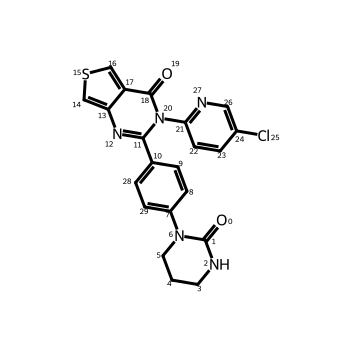 O=C1NCCCN1c1ccc(-c2nc3cscc3c(=O)n2-c2ccc(Cl)cn2)cc1